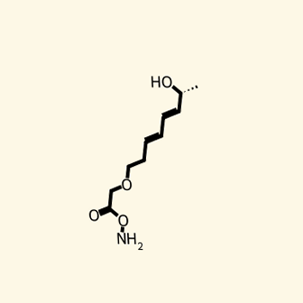 C[C@@H](O)/C=C/C=C/CCOCC(=O)ON